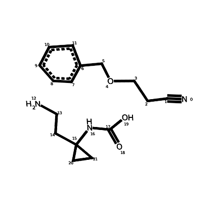 N#CCCOCc1ccccc1.NCCC1(NC(=O)O)CC1